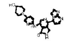 O=C1NCc2c(-c3ccnc4nccn34)ncc(Nc3ccc(N4CCC(O)CC4)cn3)c21